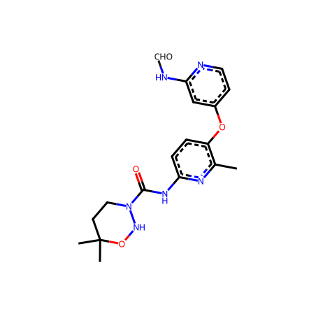 Cc1nc(NC(=O)N2CCC(C)(C)ON2)ccc1Oc1ccnc(NC=O)c1